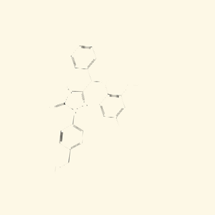 Cc1cc(S)ccc1OC(c1ccccc1)c1nn(-c2ccc(CF)cc2)c(=O)n1C